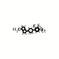 CCOc1ccc(C2CCC(C3CCC4C(C)CCC43)CC2)c(F)c1F